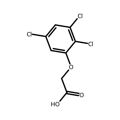 O=C(O)COc1cc(Cl)cc(Cl)c1Cl